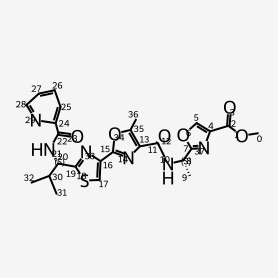 COC(=O)c1coc([C@H](C)NC(=O)c2nc(-c3csc([C@@H](NC(=O)c4ccccn4)C(C)C)n3)oc2C)n1